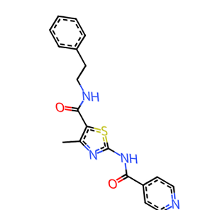 Cc1nc(NC(=O)c2ccncc2)sc1C(=O)NCCc1ccccc1